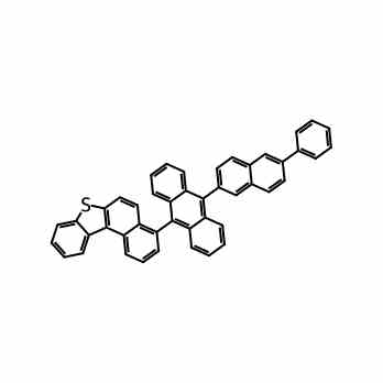 c1ccc(-c2ccc3cc(-c4c5ccccc5c(-c5cccc6c5ccc5sc7ccccc7c56)c5ccccc45)ccc3c2)cc1